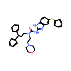 O=C(Nc1nc2cc(Sc3ccccc3)ccc2[nH]1)N(CCC(c1ccccc1)c1ccccc1)CCN1CCOCC1